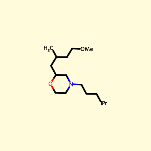 COCCC(C)CC1CN(CCCC(C)C)CCO1